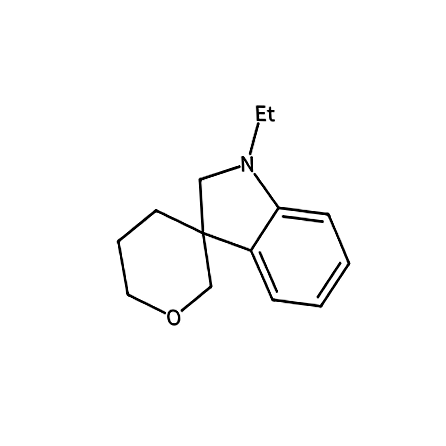 CCN1CC2(CCCOC2)c2ccccc21